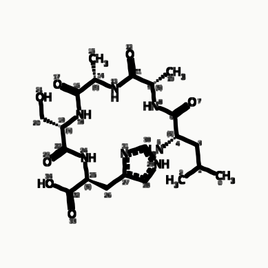 CC(C)C[C@H](N)C(=O)N[C@@H](C)C(=O)N[C@@H](C)C(=O)N[C@@H](CO)C(=O)N[C@@H](Cc1c[nH]cn1)C(=O)O